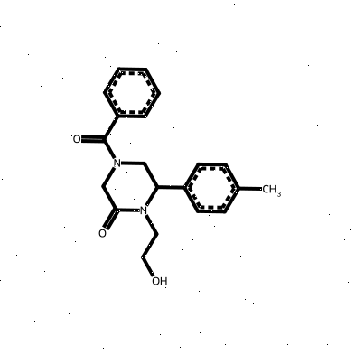 Cc1ccc(C2CN(C(=O)c3ccccc3)CC(=O)N2CCO)cc1